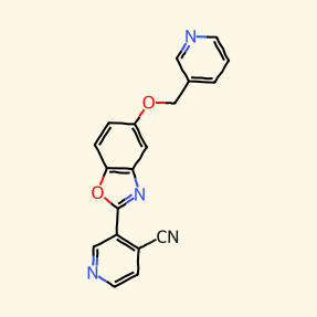 N#Cc1ccncc1-c1nc2cc(OCc3cccnc3)ccc2o1